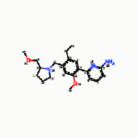 CCc1cc(-c2cccc(N)n2)c(OC)cc1CN1CCCC1COC